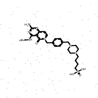 CCCCNc1nc(N)nc2ccn(Cc3ccc(CN4CCN(CCCCP(=O)(O)O)CC4)cc3)c(=O)c12